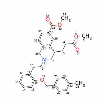 COC(=O)CCCCN(CCc1ccccc1OCc1ccc(C)cc1)Cc1ccc(C(=O)OC)cc1